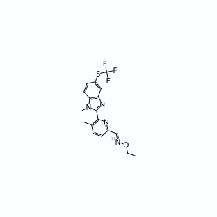 CCO/N=C/c1ccc(C)c(-c2nc3cc(SC(F)(F)F)ccc3n2C)n1